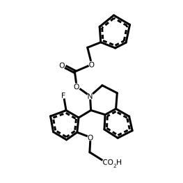 O=C(O)COc1cccc(F)c1C1c2ccccc2CCN1OC(=O)OCc1ccccc1